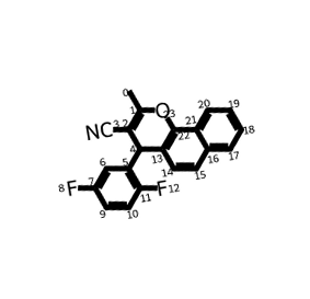 CC1=C(C#N)C(c2cc(F)ccc2F)c2ccc3ccccc3c2O1